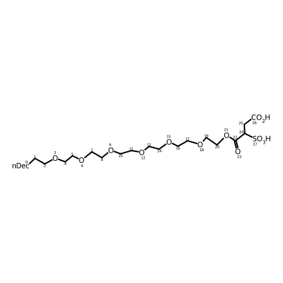 CCCCCCCCCCCCOCCOCCOCCOCCOCCOCCOC(=O)C(CC(=O)O)S(=O)(=O)O